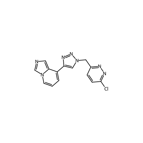 Clc1ccc(Cn2cc(-c3cccn4cncc34)nn2)nn1